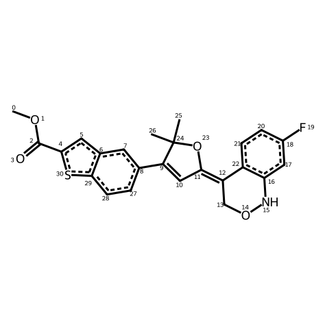 COC(=O)c1cc2cc(C3=C/C(=C4\CONc5cc(F)ccc54)OC3(C)C)ccc2s1